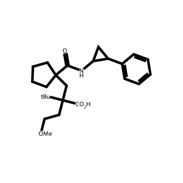 COCCC(CC1(C(=O)NC2CC2c2ccccc2)CCCC1)(C(=O)O)C(C)(C)C